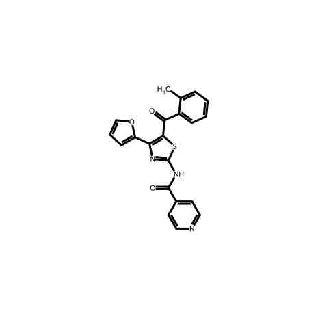 Cc1ccccc1C(=O)c1sc(NC(=O)c2ccncc2)nc1-c1ccco1